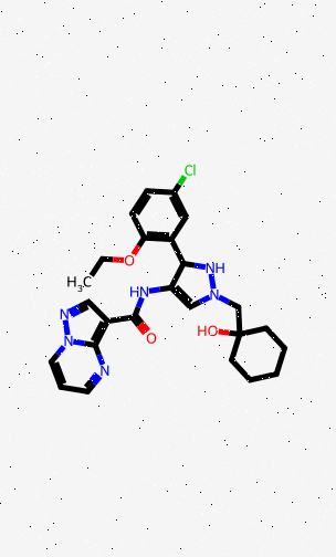 CCOc1ccc(Cl)cc1C1NN(CC2(O)CCCCC2)C=C1NC(=O)c1cnn2cccnc12